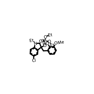 CCOP(=O)(OCC)OC1(Cc2cccc(OC)c2O)C(=O)N(CC)c2ccc(Cl)cc21